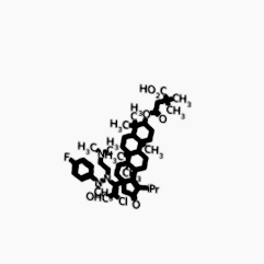 CC(C)C1=C2C3CCC4C5(C)CCC(OC(=O)CC(C)(C)C(=O)O)C(C)(C)C5CCC4(C)[C@]3(C)CCC2(/C(=C(\Cl)C=O)N(CCN(C)C)N(C)c2ccc(F)cc2)CC1=O